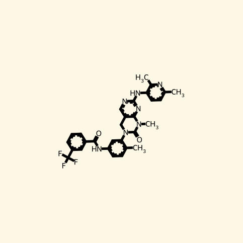 Cc1ccc(Nc2ncc3c(n2)N(C)C(=O)N(c2cc(NC(=O)c4cccc(C(F)(F)F)c4)ccc2C)C3)c(C)n1